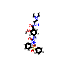 CCN(CC)CCNC(=O)c1ccc(NC(=O)Nc2ccccc2S(=O)(=O)c2ccccc2)cc1OC